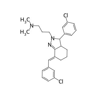 CN(C)CCCN1N=C2C(=Cc3cccc(Cl)c3)CCCC2C1c1cccc(Cl)c1